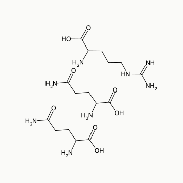 N=C(N)NCCCC(N)C(=O)O.NC(=O)CCC(N)C(=O)O.NC(=O)CCC(N)C(=O)O